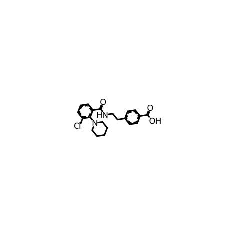 O=C(O)c1ccc(CCNC(=O)c2cccc(Cl)c2N2CCCCC2)cc1